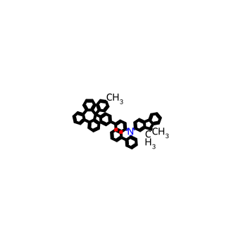 Cc1ccc(C2(c3ccc(-c4ccc(N(c5ccc6c(c5)C(C)(C)c5ccccc5-6)c5ccccc5-c5ccccc5)cc4)cc3)c3ccccc3-c3ccccc3-c3ccccc32)cc1